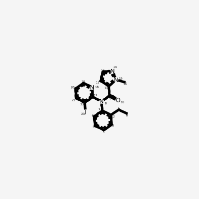 CCc1ccccc1N(C(=O)c1ccnn1C)c1ncccc1I